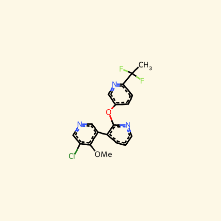 COc1c(Cl)cncc1-c1cccnc1Oc1ccc(C(C)(F)F)nc1